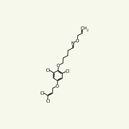 C=CCO/N=C/CCCCOc1c(Cl)cc(OCC=C(Cl)Cl)cc1Cl